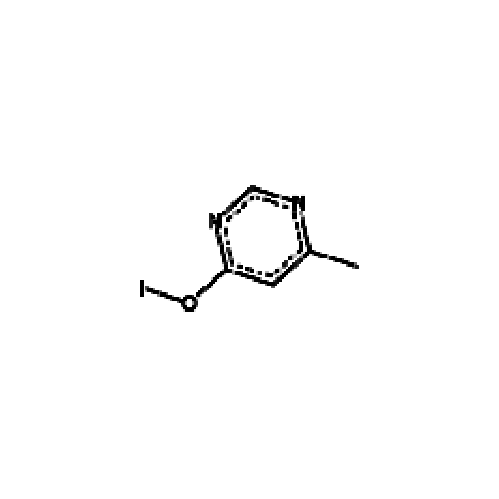 Cc1cc(OI)ncn1